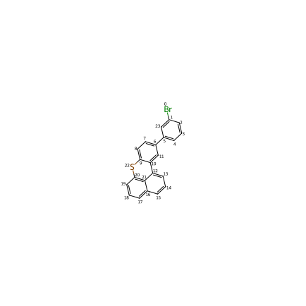 Brc1cccc(-c2ccc3c(c2)-c2cccc4cccc(c24)S3)c1